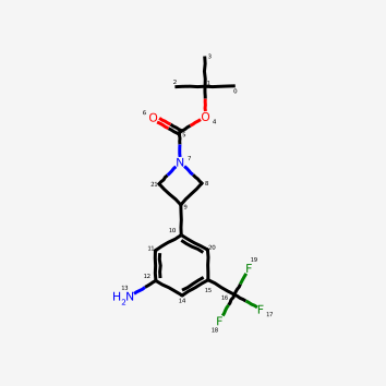 CC(C)(C)OC(=O)N1CC(c2cc(N)cc(C(F)(F)F)c2)C1